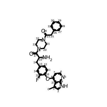 Cc1c[nH]c2nccc(Oc3ccc(CC(N)C(=O)N4CCN(C(=O)Cc5ccccc5)CC4)cc3F)c12